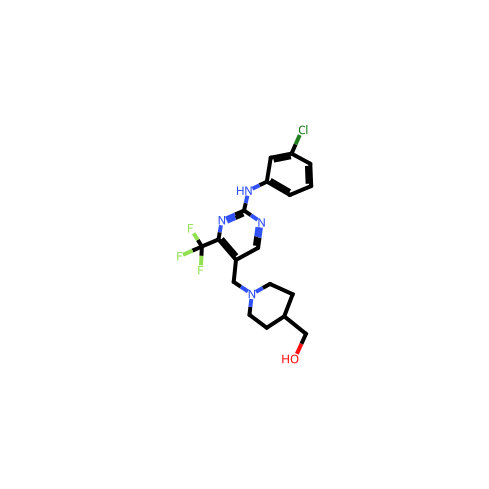 OCC1CCN(Cc2cnc(Nc3cccc(Cl)c3)nc2C(F)(F)F)CC1